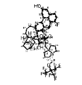 C#Cc1c(F)ccc2cc(O)cc(-c3nc4c5c(nc(OC[C@@]67CCCN6[C@H](COC(C(F)(F)F)(C(F)(F)F)C(F)(F)F)CC7)nc5c3F)N3C[C@H]5CC[C@@H]([C@H]3CCC4)N5Cc3oc(=O)oc3C)c12